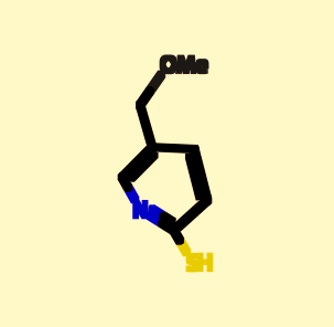 COCc1ccc(S)nc1